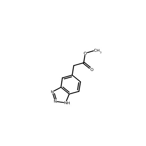 COC(=O)Cc1ccc2[nH]nnc2c1